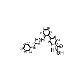 O=C(NO)c1ccc(-c2ccccc2CNCCCc2ccccc2)cc1